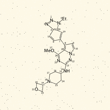 CCn1nnc2ccc(-c3ccn4nc(NC5CCN(C6COC6)CC5)nc(OC)c34)cc21